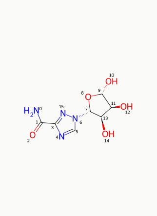 NC(=O)c1ncn([C@@H]2O[C@H](O)[C@@H](O)[C@H]2O)n1